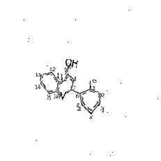 Cc1ccccc1-c1cc(O)c2ccccc2n1